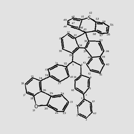 c1ccc(-c2ccc(CC(c3ccc(-c4cccc5oc6ccccc6c45)cc3)c3cccc4c3-c3c(ccc5ccccc35)C43c4ccccc4Sc4ccccc43)cc2)cc1